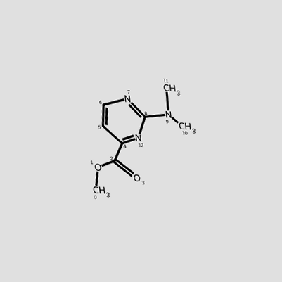 COC(=O)c1ccnc(N(C)C)n1